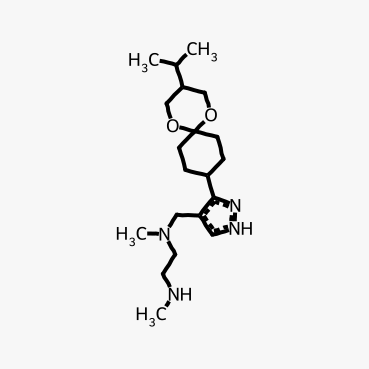 CNCCN(C)Cc1c[nH]nc1C1CCC2(CC1)OCC(C(C)C)CO2